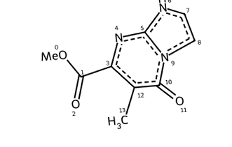 COC(=O)c1nc2[nH]ccn2c(=O)c1C